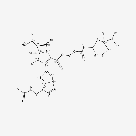 CC(=O)NCc1ncn2cc(C3=C(C(=O)OCOC(=O)OC4CCC[C@](C)(C(C)C)C4)N4C(=O)[C@H]([C@@H](C)O)[C@@H]4C3C)sc12